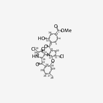 COC(=O)c1ccc(C(=O)c2cc(Cl)c3n2-c2c([nH]c(Cl)c2Cl)C(=O)c2ccc(C)cc2O3)c(O)c1